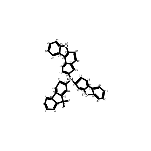 CC1(C)c2ccccc2-c2ccc(N(c3ccc4c(ccc5oc6ccccc6c54)c3)c3ccc4c(c3)sc3ccccc34)cc21